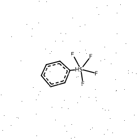 F[SH](F)(F)(F)c1ccccc1